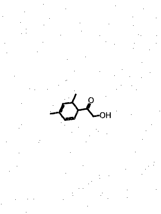 CC1=CC(C)C(C(=O)CO)C=C1